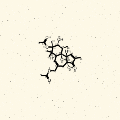 CC(=O)OCC1=C[C@H]2C(C)(C)[C@](C)(OC(C)=O)[C@H](O)[C@@H](C)[C@]2(O)[C@@H]2C=C(C)C(=O)[C@@]2(O)C1